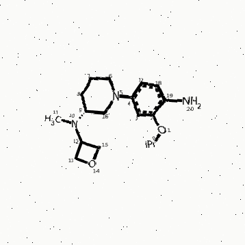 CC(C)Oc1cc(N2CCC[C@@H](N(C)C3COC3)C2)ccc1N